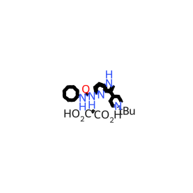 CC(C)(C)N1CCC(c2c[nH]c3ccc(NC(=O)NC4CCCCCCC4)nc23)CC1.O=C(O)CC(=O)O